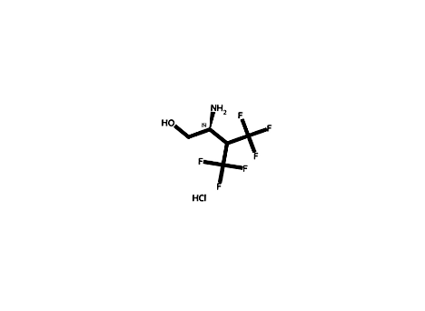 Cl.N[C@H](CO)C(C(F)(F)F)C(F)(F)F